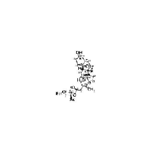 CCOCC(OC(=O)CC[C@@H](C)[C@H]1CC[C@H]2[C@@H]3CCC4C[C@H](O)CC[C@@]4(C)[C@H]3CC[C@]12C)(C(C)=O)C(C)=O